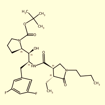 CCCCN1C[C@H](C(=O)N[C@@H](Cc2cc(F)cc(F)c2)[C@H](O)[C@H]2CCCN2C(=O)OC(C)(C)C)[C@@H](CC)C1=O